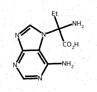 CCC(N)(C(=O)O)n1cnc2ncnc(N)c21